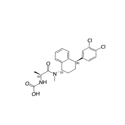 C[C@H](NC(=O)O)C(=O)N(C)[C@H]1CC[C@H](c2ccc(Cl)c(Cl)c2)c2ccccc21